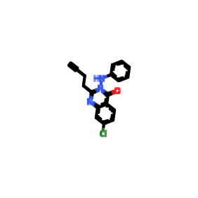 C#CCCc1nc2cc(Cl)ccc2c(=O)n1Nc1ccccc1